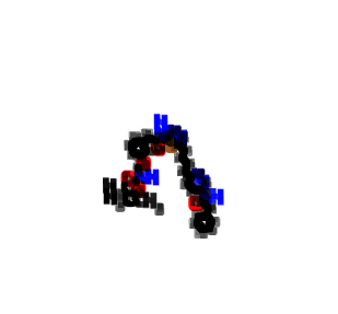 CC(C)(C)OC(=O)NCOc1cccc(CC(=O)Nc2nnc(CCCCc3ccc(NC(=O)Cc4ccccc4)nn3)s2)c1